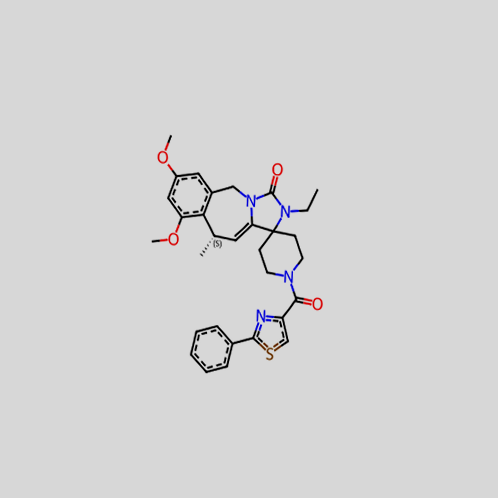 CCN1C(=O)N2Cc3cc(OC)cc(OC)c3[C@@H](C)C=C2C12CCN(C(=O)c1csc(-c3ccccc3)n1)CC2